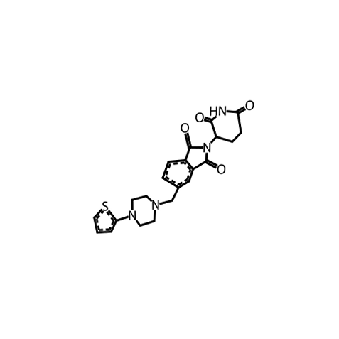 O=C1CCC(N2C(=O)c3ccc(CN4CCN(c5cccs5)CC4)cc3C2=O)C(=O)N1